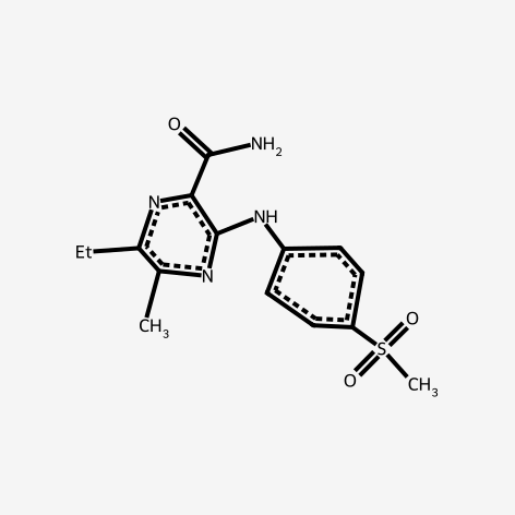 CCc1nc(C(N)=O)c(Nc2ccc(S(C)(=O)=O)cc2)nc1C